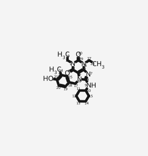 CCn1c(=O)c2c(nc(NC3CCCCC3)n2Cc2ccc(O)c(C)c2)n(CC)c1=O